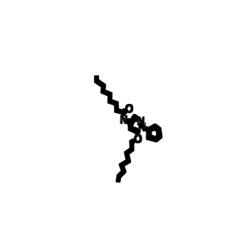 CCCCCCCCOc1c/c(=N/C(=O)CCCCCCCC)cnn1-c1ccccc1